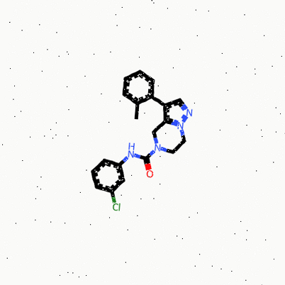 Cc1ccccc1-c1cnn2c1CN(C(=O)Nc1cccc(Cl)c1)CC2